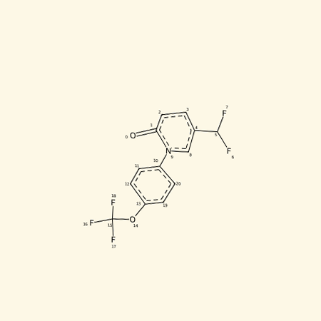 O=c1ccc(C(F)F)cn1-c1ccc(OC(F)(F)F)cc1